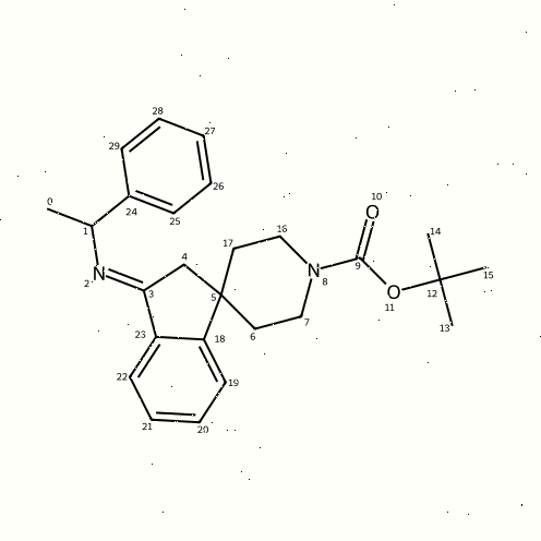 CC(/N=C1\CC2(CCN(C(=O)OC(C)(C)C)CC2)c2ccccc21)c1ccccc1